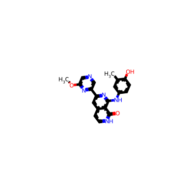 COc1cncc(-c2cc3cc[nH]c(=O)c3c(Nc3ccc(O)c(C)c3)n2)n1